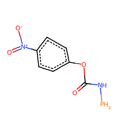 O=C(NP)Oc1ccc([N+](=O)[O-])cc1